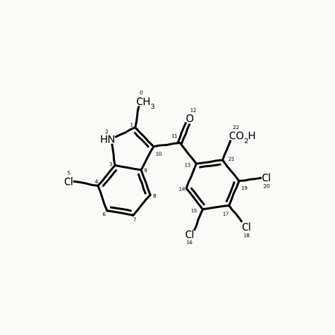 Cc1[nH]c2c(Cl)cccc2c1C(=O)c1cc(Cl)c(Cl)c(Cl)c1C(=O)O